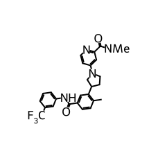 CNC(=O)c1cc(N2CCC(c3cc(C(=O)Nc4cccc(C(F)(F)F)c4)ccc3C)C2)ccn1